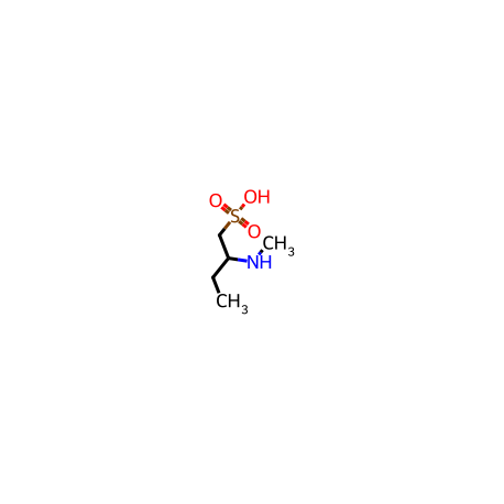 CCC(CS(=O)(=O)O)NC